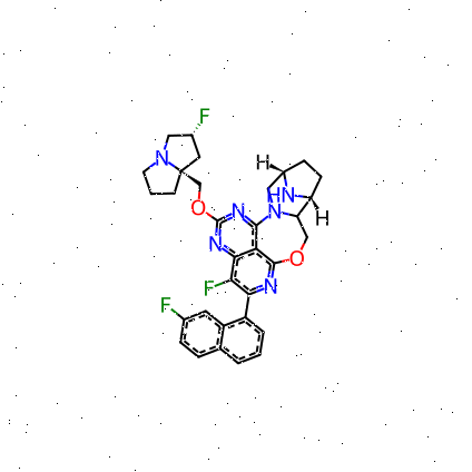 Fc1ccc2cccc(-c3nc4c5c(nc(OC[C@@]67CCCN6C[C@H](F)C7)nc5c3F)N3C[C@@H]5CC[C@@H](N5)C3CO4)c2c1